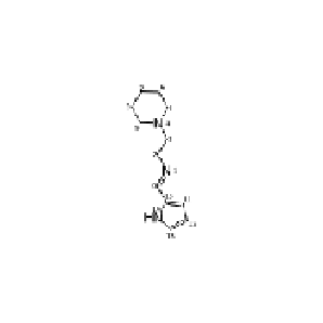 C(=NCCN1CCCCC1)c1ccc[nH]1